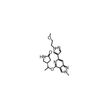 COCCn1cc(-c2cc3nn(C)cc3c(OC(C)[C@H]3CNC(=O)C3)n2)cn1